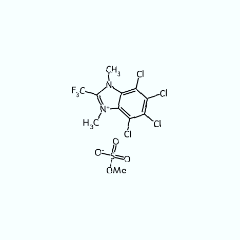 COS(=O)(=O)[O-].Cn1c(C(F)(F)F)[n+](C)c2c(Cl)c(Cl)c(Cl)c(Cl)c21